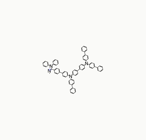 C/N=C(\c1ccc(-c2ccc(N(c3ccc(-c4ccccc4)cc3)c3ccc(-c4ccc(N(c5ccc(-c6ccccc6)cc5)c5ccc(-c6ccccc6)cc5)cc4)cc3)cc2)cc1)N(c1ccccc1)c1ccccc1